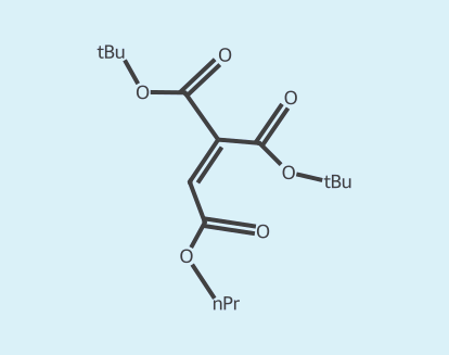 CCCOC(=O)C=C(C(=O)OC(C)(C)C)C(=O)OC(C)(C)C